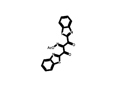 CC(=O)ON=C(C(=O)c1nc2ccccc2s1)C(=O)c1nc2ccccc2s1